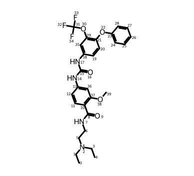 CCN(CC)CCNC(=O)c1ccc(NC(=O)Nc2ccc(Oc3ccccc3)c(OC(F)(F)F)c2)cc1OC